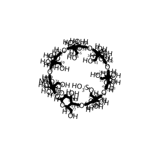 N.O=S(=O)(O)OC[C@H]1O[C@@H]2O[C@H]3[C@H](O)[C@@H](O)[C@@H](O[C@H]4[C@H](O)[C@@H](O)[C@@H](O[C@H]5[C@H](O)[C@@H](O)[C@@H](O[C@H]6[C@H](O)[C@@H](O)[C@@H](O[C@H]7[C@H](O)[C@@H](O)[C@@H](O[C@H]8[C@H](O)[C@@H](O)[C@@H](O[C@H]1[C@H](O)[C@H]2O)O[C@@H]8CO)O[C@@H]7CO)O[C@@H]6CO)O[C@@H]5CO)O[C@@H]4CO)O[C@@H]3CO